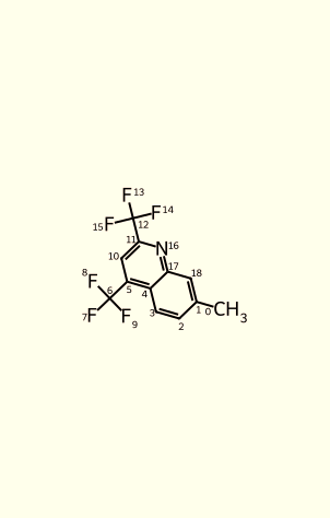 Cc1ccc2c(C(F)(F)F)cc(C(F)(F)F)nc2c1